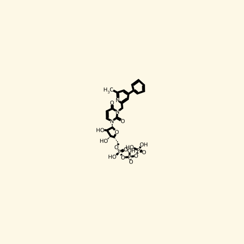 Cc1cc(-c2ccccc2)cc(Cn2c(=O)ccn([C@@H]3O[C@H](COP(=O)(O)OP(=O)(O)OP(=O)(O)O)[C@H](O)C3O)c2=O)n1